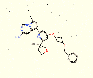 CO[C@@]1(c2cc(OC3CC(OCc4ccccc4)C3)cc(-c3cc(C)n4cnc(N)cc34)n2)CCOC1